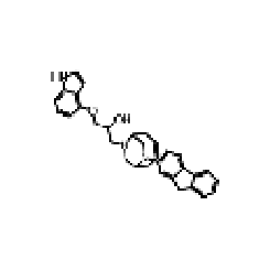 OC(COc1cccc2[nH]ccc12)CN1CC2C/C=C\CC1CN2c1ccc2c(c1)Cc1ccccc1-2